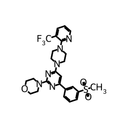 CS(=O)(=O)c1cccc(-c2cc(N3CCN(c4ncccc4C(F)(F)F)CC3)nc(N3CCOCC3)n2)c1